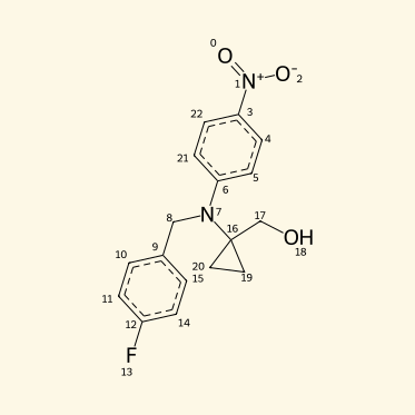 O=[N+]([O-])c1ccc(N(Cc2ccc(F)cc2)C2(CO)CC2)cc1